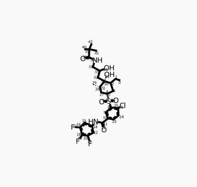 CCC1C[C@@H](S(=O)(=O)c2cc(C(=O)Nc3cc(F)c(F)c(F)c3)ccc2Cl)C[C@H](C)[C@@]1(O)CC(O)CNC(=O)C(C)(C)C